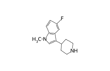 Cn1cc(C2CCNCC2)c2cc(F)ccc21